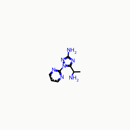 CC(N)c1nc(N)nn1-c1ncccn1